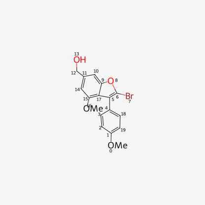 COc1ccc(-c2c(Br)oc3cc(CO)cc(OC)c23)cc1